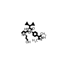 Cc1n[nH]c(C)c1-c1ccc(NC(=O)[C@@H](NC(=O)c2ccnn2CCCO)C(C2CC2)C2CC2)cc1